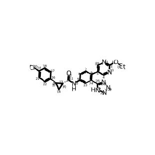 CCOc1ncc(-c2ccc(NC(=O)[C@@H]3C[C@H]3c3ccc(Cl)cc3)cc2-c2nnn[nH]2)cn1